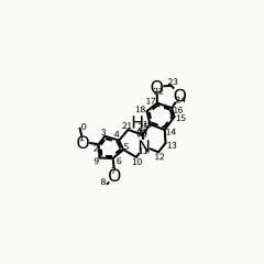 COc1cc2c(c(OC)c1)CN1CCc3cc4c(cc3[C@@H]1C2)OCO4